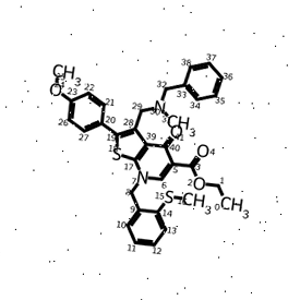 CCOC(=O)c1cn(Cc2ccccc2SC)c2sc(-c3ccc(OC)cc3)c(CN(C)Cc3ccccc3)c2c1=O